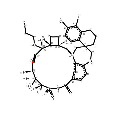 C[C@@H]1[C@@H](C)S(=O)(=O)NC(=O)c2ccc3c(c2)N(C[C@@H]2CC[C@H]2[C@@H](OCCBr)C2=C[C@H]1C2)C[C@@]1(CCCc2c1ccc(Cl)c2F)CO3